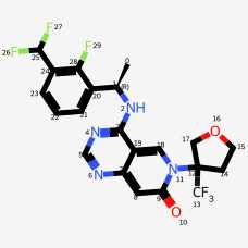 C[C@@H](Nc1ncnc2cc(=O)n(C3(C(F)(F)F)CCOC3)cc12)c1cccc(C(F)F)c1F